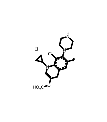 Cl.O=C(O)OC1=CN(C2CC2)c2c(cc(F)c(N3CCNCC3)c2Cl)C1